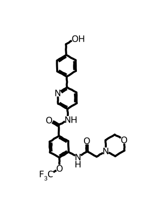 O=C(CN1CCOCC1)Nc1cc(C(=O)Nc2ccc(-c3ccc(CO)cc3)nc2)ccc1OC(F)(F)F